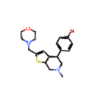 CN1CC2SC(CN3CCOCC3)=CC2C(c2ccc(Br)cc2)C1